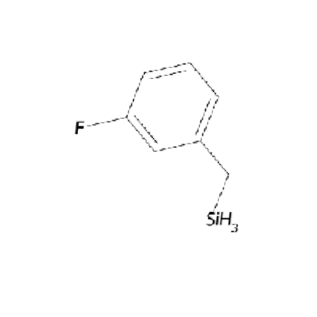 Fc1cccc(C[SiH3])c1